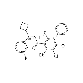 CCc1c(C(=O)N[C@H](c2cccc(F)c2)C2CCC2)c(C)n(-c2ccccc2)c(=O)c1Cl